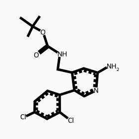 CC(C)(C)OC(=O)NCc1cc(N)ncc1-c1ccc(Cl)cc1Cl